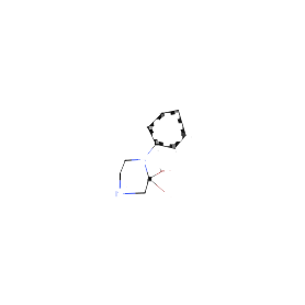 BrC1(Br)CNCCN1c1ccccc1